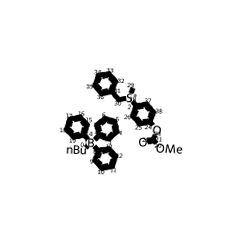 CCCC[B-](c1ccccc1)(c1ccccc1)c1ccccc1.COC(=O)Oc1ccc([S+](C)Cc2ccccc2)cc1